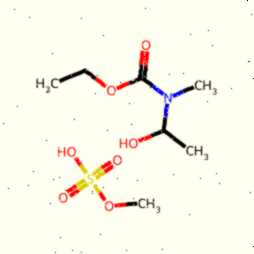 CCOC(=O)N(C)C(C)O.COS(=O)(=O)O